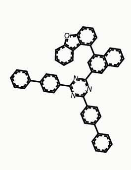 c1ccc(-c2ccc(-c3nc(-c4ccc(-c5ccccc5)cc4)nc(-c4cc(-c5cccc6oc7ccccc7c56)c5ccccc5c4)n3)cc2)cc1